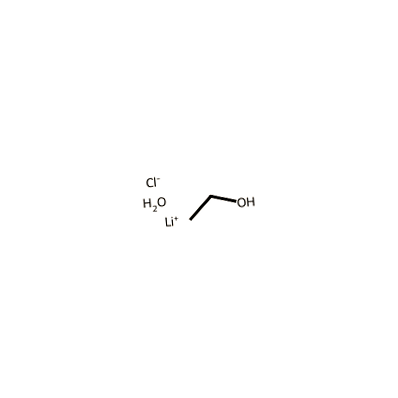 CCO.O.[Cl-].[Li+]